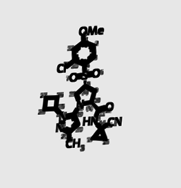 COc1ccc(S(=O)(=O)[C@@H]2C[C@@H](C(=O)NC3(C#N)CC3)N(c3cc(C)nn3C3CCC3)C2)c(Cl)c1